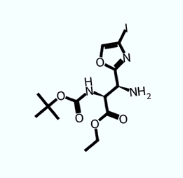 CCOC(=O)[C@@H](NC(=O)OC(C)(C)C)[C@H](N)c1nc(I)co1